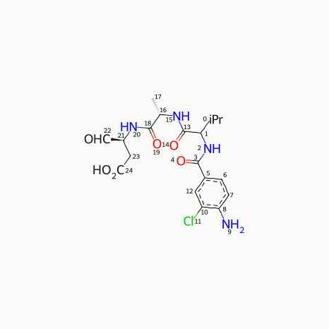 CC(C)C(NC(=O)c1ccc(N)c(Cl)c1)C(=O)N[C@@H](C)C(=O)N[C@H](C=O)CC(=O)O